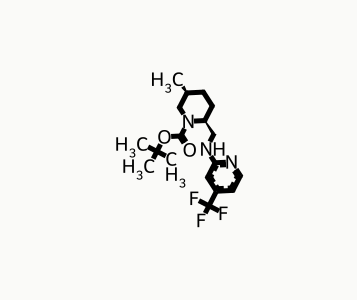 C[C@H]1CC[C@@H](CNc2cc(C(F)(F)F)ccn2)N(C(=O)OC(C)(C)C)C1